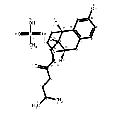 CC(C)CCC(=O)CCC1(C)[C@@H]2Cc3ccc(O)cc3[C@@]1(C)CCN2C.CS(=O)(=O)O